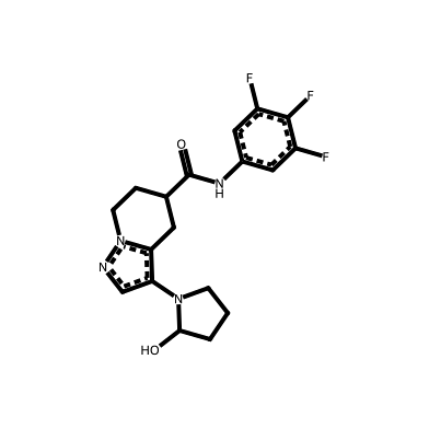 O=C(Nc1cc(F)c(F)c(F)c1)C1CCn2ncc(N3CCCC3O)c2C1